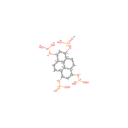 O=[PH](O)Oc1cc(OP(O)O)c2ccc3c(O[PH](=O)O)cc(OP(O)O)c4ccc1c2c43